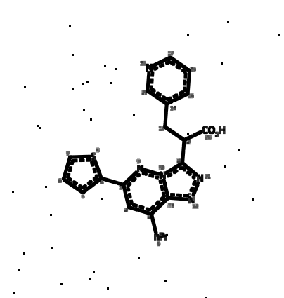 CCCc1cc(-c2cccs2)nn2c(C(Cc3cccnc3)C(=O)O)nnc12